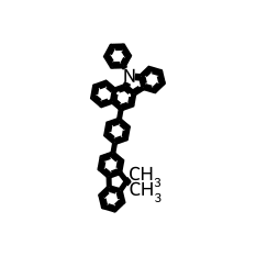 CC1(C)c2ccccc2-c2ccc(-c3ccc(-c4cc5c6ccccc6n(-c6ccccc6)c5c5ccccc45)cc3)cc21